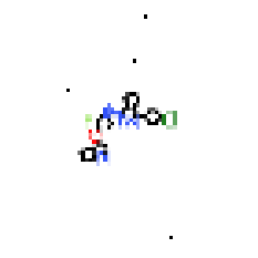 Fc1cc(Nc2nnc(-c3ccc(Cl)cc3)c3ccccc23)ccc1Oc1ccnc2ccccc12